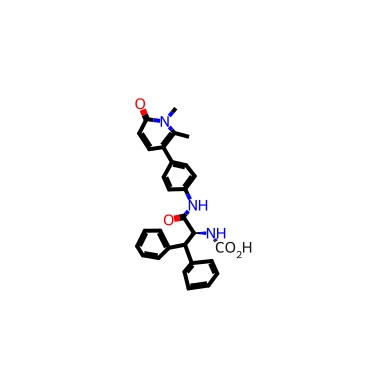 Cc1c(-c2ccc(NC(=O)[C@@H](NC(=O)O)C(c3ccccc3)c3ccccc3)cc2)ccc(=O)n1C